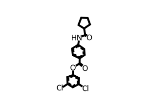 O=C(Oc1cc(Cl)cc(Cl)c1)c1ccc(NC(=O)C2CCCC2)cc1